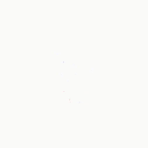 CONC(=O)[C@H]1O[C@@H](n2cnc3c(NCc4cc(C)ccn4)nc(-c4cncc(Cl)c4)nc32)[C@H](O)[C@@H]1O